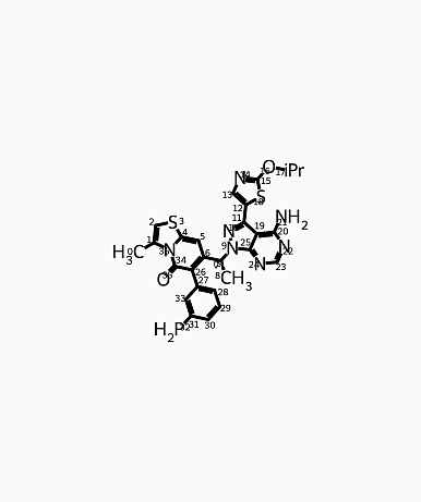 Cc1csc2cc([C@H](C)n3nc(-c4cnc(OC(C)C)s4)c4c(N)ncnc43)c(-c3cccc(P)c3)c(=O)n12